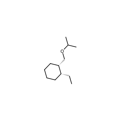 CC[C@@H]1CCCC[C@@H]1COC(C)C